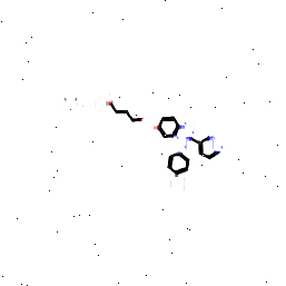 COC(=O)CCCCOc1ccc2nc(-c3cccnc3)n(-c3ccc(C)cc3)c2c1